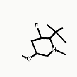 COC1CC(F)C(C(C)(C)C)N(C)C1